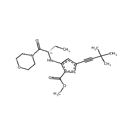 CC[C@H](Nc1cc(C#CC(C)(C)C)sc1C(=O)OC)C(=O)N1CCOCC1